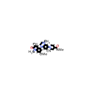 CNC(=O)C1CCN(c2cc3c(cc2C#N)N(c2cc(OC)cc4c2cc(C)c(=O)n4C)CCN3C)CC1